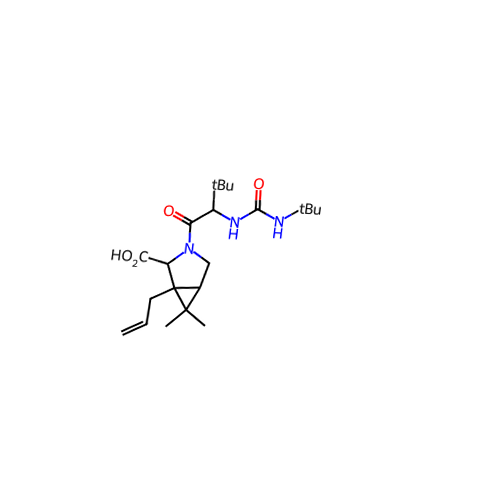 C=CCC12C(C(=O)O)N(C(=O)C(NC(=O)NC(C)(C)C)C(C)(C)C)CC1C2(C)C